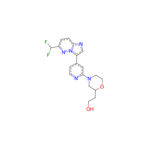 OCCC1CN(c2cc(-c3cnc4ccc(C(F)F)nn34)ccn2)CCO1